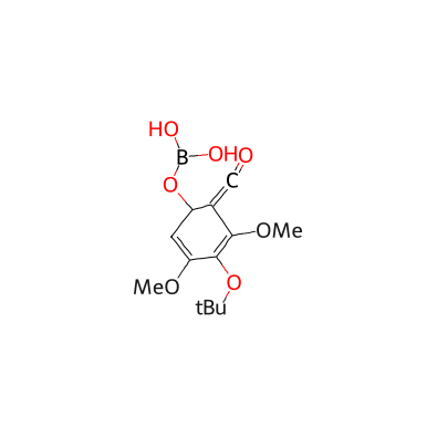 COC1=CC(OB(O)O)C(=C=O)C(OC)=C1OC(C)(C)C